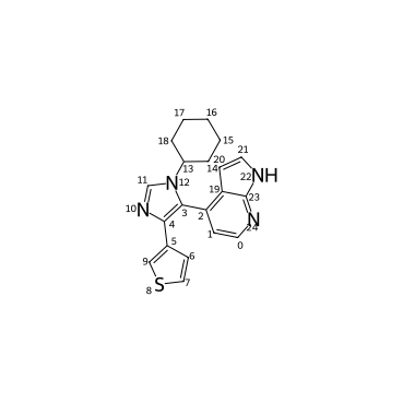 c1cc(-c2c(-c3ccsc3)ncn2C2CCCCC2)c2cc[nH]c2n1